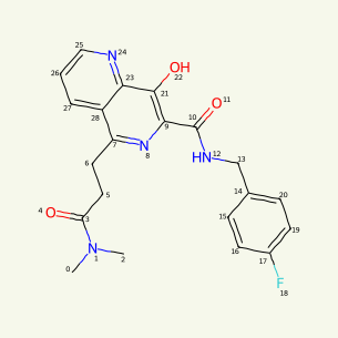 CN(C)C(=O)CCc1nc(C(=O)NCc2ccc(F)cc2)c(O)c2ncccc12